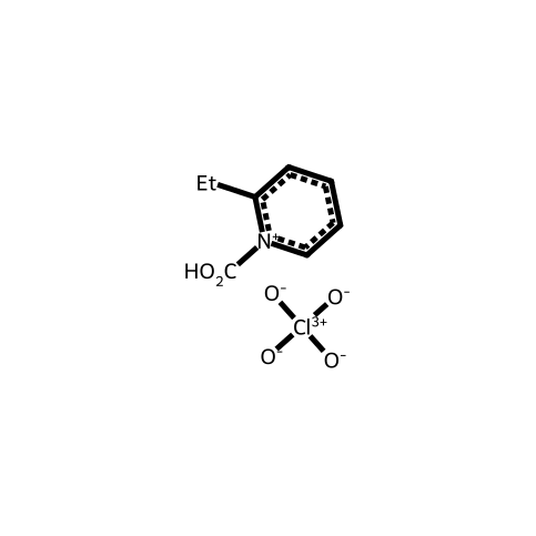 CCc1cccc[n+]1C(=O)O.[O-][Cl+3]([O-])([O-])[O-]